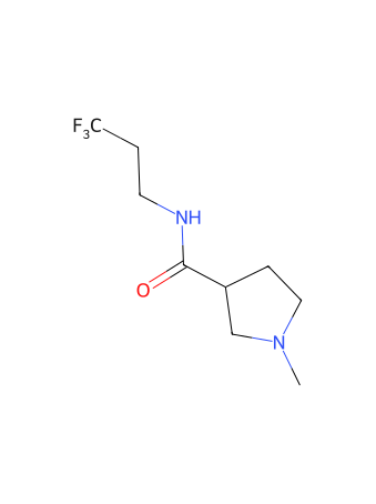 CN1CCC(C(=O)NCCC(F)(F)F)C1